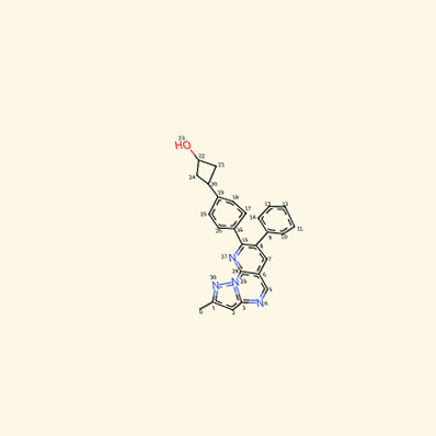 Cc1cc2ncc3cc(-c4ccccc4)c(-c4ccc(C5CC(O)C5)cc4)nc3n2n1